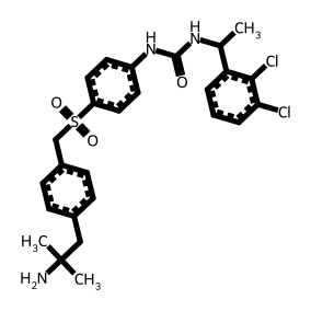 CC(NC(=O)Nc1ccc(S(=O)(=O)Cc2ccc(CC(C)(C)N)cc2)cc1)c1cccc(Cl)c1Cl